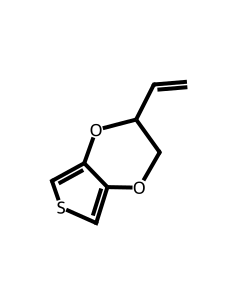 C=CC1COc2cscc2O1